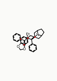 CCN(C(=O)c1ccccc1)C(=C1CC2CCC(C1)N2CCc1ccc2c(c1)OCO2)c1ccccc1